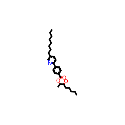 CCCCCCCCc1ccc(-c2ccc(C(=O)OC(C)C(=O)CCCCC)cc2)nc1